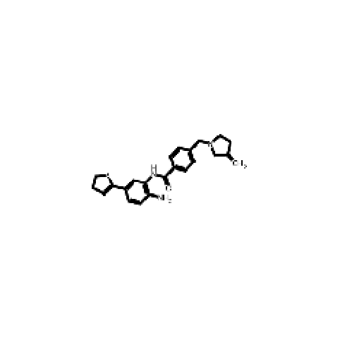 C=C1CCN(Cc2ccc(C(=O)Nc3cc(C4=CCCS4)ccc3N)cc2)C1